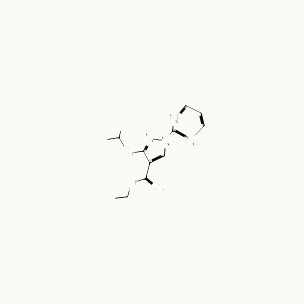 CCOC(=O)c1cn(-c2ncccn2)nc1OC(F)F